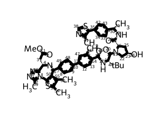 COC(=O)C[C@@H]1N=C(c2ccc(-c3ccc(C(=O)N[C@H](C(=O)N4C[C@H](O)C[C@H]4C(=O)N[C@@H](C)c4ccc(-c5scnc5C)cc4)C(C)(C)C)c(C)c3)cc2)c2c(sc(C)c2C)-n2c(C)nnc21